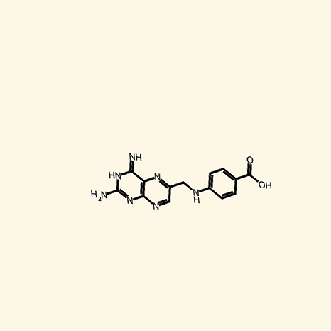 N=c1[nH]c(N)nc2ncc(CNc3ccc(C(=O)O)cc3)nc12